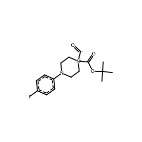 CC(C)(C)OC(=O)[N+]1([C]=O)CCN(c2ccc(I)cc2)CC1